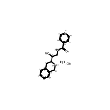 Cl.Cl.O=C(NCC(O)[C@@H]1Cc2ccccc2CN1)c1ccncc1